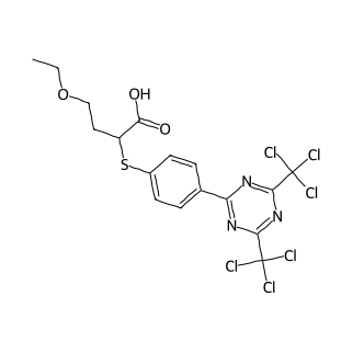 CCOCCC(Sc1ccc(-c2nc(C(Cl)(Cl)Cl)nc(C(Cl)(Cl)Cl)n2)cc1)C(=O)O